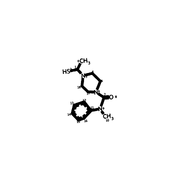 CC(S)N1CCN(C(=O)N(C)c2ccccc2)CC1